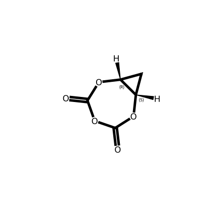 O=C1OC(=O)O[C@@H]2C[C@@H]2O1